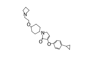 O=C1C(Oc2ccc(C3CC3)cc2)=CCN1[C@H]1CC[C@H](OCCN2CCC2)CC1